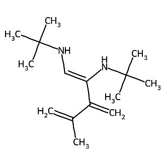 C=C(C)C(=C)/C(=C/NC(C)(C)C)NC(C)(C)C